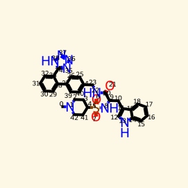 CN1CCC(S(=O)(=O)NC(Cc2c[nH]c3ccccc23)C(=O)NCc2ccc(-c3ccccc3-c3nnn[nH]3)cc2)CC1